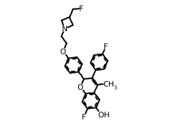 CC1=C(c2ccc(F)cc2)C(c2ccc(OCCN3CC(CF)C3)cc2)Oc2cc(F)c(O)cc21